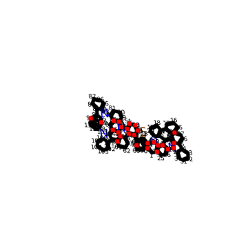 c1ccc(-c2ccccc2-c2c(-c3ccccc3)cccc2N(c2cccc(-n3c4ccccc4c4ccccc43)c2)c2cccc3c2sc2ccc(-c4ccccc4-c4ccccc4-c4c(-c5ccccc5)cccc4N(c4cccc(-n5c6ccccc6c6ccccc65)c4)c4ccc5c6ccccc6n(-c6ccccc6)c5c4)cc23)cc1